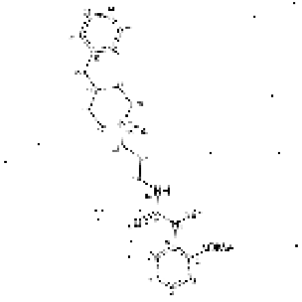 COc1ccccc1N(Br)C(=O)NCCC[N+]1(C)CCC(Cc2ccccc2)CC1